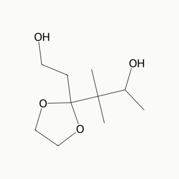 CC(O)C(C)(C)C1(CCO)OCCO1